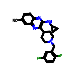 N#Cc1ccc2nc(NC3CC3)c(C3CCN(Cc4cc(F)ccc4F)CC3)nc2c1